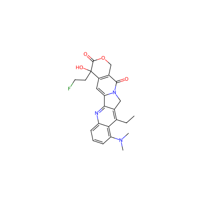 CCc1c2c(nc3cccc(N(C)C)c13)-c1cc3c(c(=O)n1C2)COC(=O)C3(O)CCF